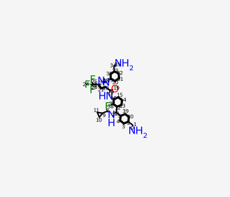 NCc1ccc([C@H](NCC2CC2)c2cccc(NC(=O)c3cc(C(F)(F)F)nn3-c3cccc(CN)c3)c2F)cc1